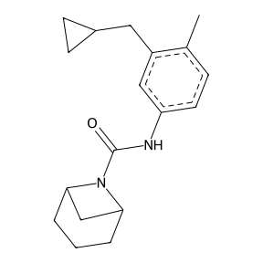 Cc1ccc(NC(=O)N2C3CCCC2C3)cc1CC1CC1